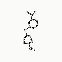 Cc1ccc(Oc2cccc([N+](=O)[O-])c2)cn1